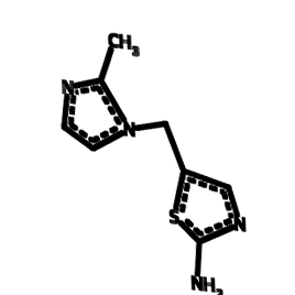 Cc1nccn1Cc1cnc(N)s1